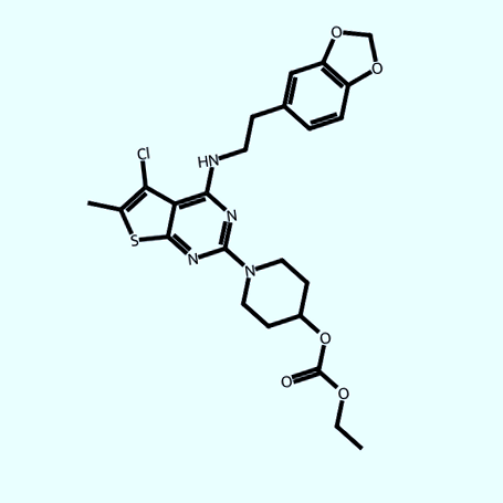 CCOC(=O)OC1CCN(c2nc(NCCc3ccc4c(c3)OCO4)c3c(Cl)c(C)sc3n2)CC1